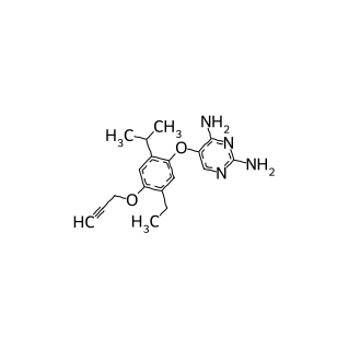 C#CCOc1cc(C(C)C)c(Oc2cnc(N)nc2N)cc1CC